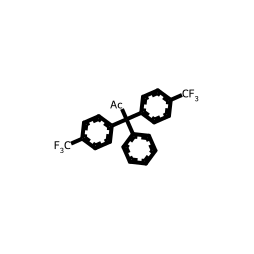 CC(=O)C(c1ccccc1)(c1ccc(C(F)(F)F)cc1)c1ccc(C(F)(F)F)cc1